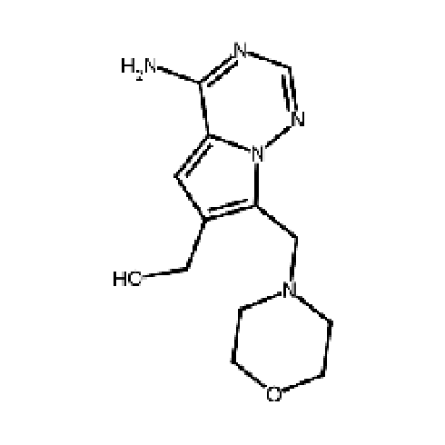 Nc1ncnn2c(CN3CCOCC3)c(CO)cc12